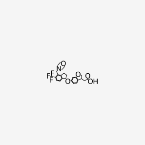 O=C(O)CC1COc2cc(OC3CCc4c3ccc(C(F)(F)F)c4CN3CCOCC3)ccc21